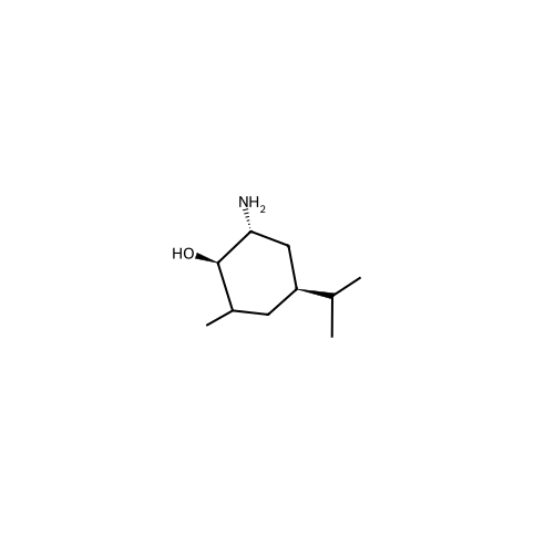 CC(C)[C@H]1CC(C)[C@@H](O)[C@H](N)C1